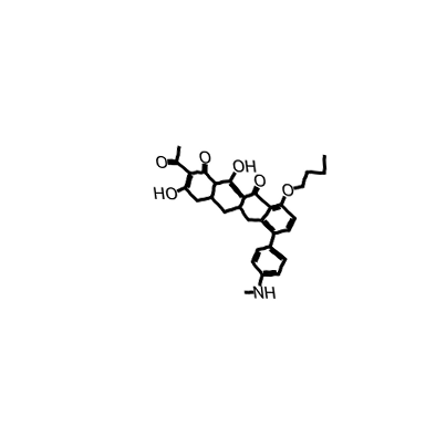 CCCCOc1ccc(-c2ccc(NC)cc2)c2c1C(=O)C1=C(O)C3C(=O)C(C(C)=O)=C(O)CC3CC1C2